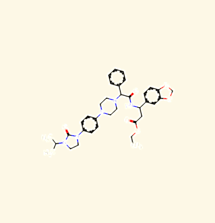 CCOC(=O)CC(NC(=O)C(c1ccccc1)N1CCN(c2ccc(N3CCN(C(C)C)C3=O)cc2)CC1)c1ccc2c(c1)OCO2